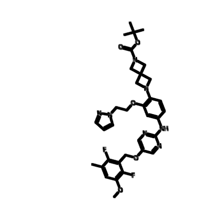 COc1cc(C)c(F)c(COc2cnc(Nc3ccc(N4CC5(CN(C(=O)OC(C)(C)C)C5)C4)c(OCCn4cccn4)c3)nc2)c1F